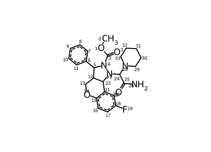 COC(=O)N1C(c2ccccc2)C2COc3ccc(F)cc3C2N1C(C(N)=O)N1CCCCC1